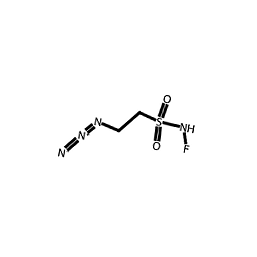 [N-]=[N+]=NCCS(=O)(=O)NF